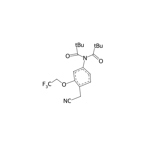 CC(C)(C)C(=O)N(C(=O)C(C)(C)C)c1ccc(CC#N)c(OCC(F)(F)F)c1